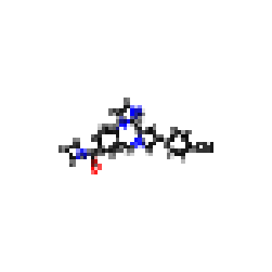 N#Cc1ccc(-c2cc3n(c2)Cc2cc(C(=O)N4CCC4)ccc2-n2ccnc2-3)cc1